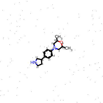 CC1CN(c2ccc(C3CCNC3)cc2)CC(C)O1